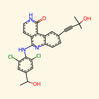 CC(O)c1cc(Cl)c(Nc2nc3ccc(C#CC(C)(C)O)cc3c3c(=O)[nH]ccc23)c(Cl)c1